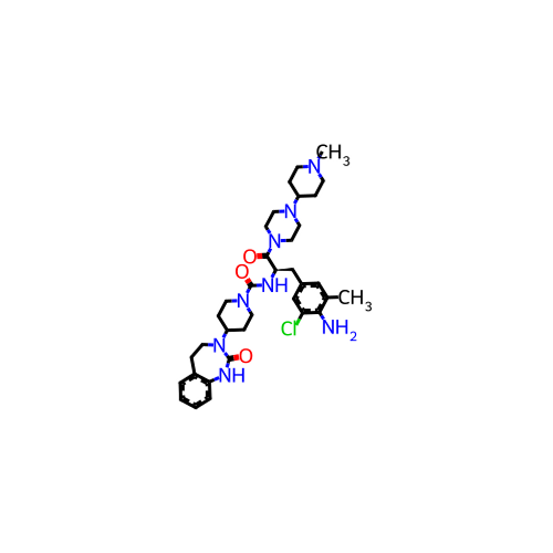 Cc1cc(C[C@@H](NC(=O)N2CCC(N3CCc4ccccc4NC3=O)CC2)C(=O)N2CCN(C3CCN(C)CC3)CC2)cc(Cl)c1N